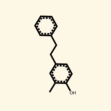 Cc1cc(CCc2ccccc2)ccc1O